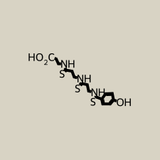 O=C(O)CCNC(=S)CCNC(=S)CCNC(=S)c1ccc(O)cc1